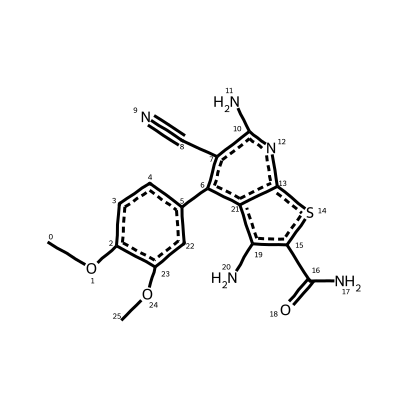 COc1ccc(-c2c(C#N)c(N)nc3sc(C(N)=O)c(N)c23)cc1OC